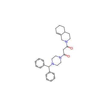 O=C(CC(=O)N1CCC2CCCC=C2C1)N1CCN(C(c2ccccc2)c2ccccc2)CC1